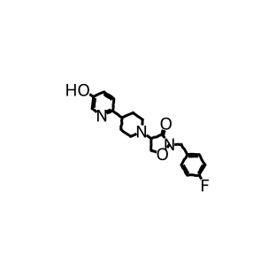 O=C1C(N2CCC(c3ccc(O)cn3)CC2)CON1Cc1ccc(F)cc1